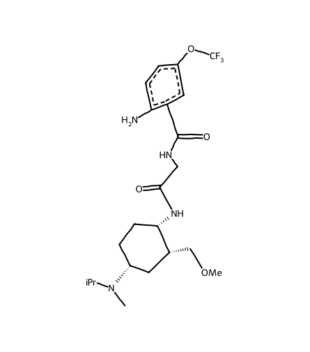 COC[C@@H]1C[C@H](N(C)C(C)C)CC[C@@H]1NC(=O)CNC(=O)c1cc(OC(F)(F)F)ccc1N